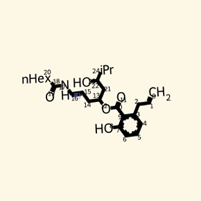 C=CCc1cccc(O)c1C(=O)OC(C/C=C/NC(=O)CCCCCC)CC(O)C(C)C